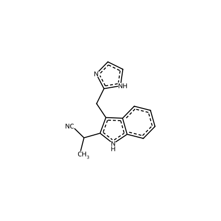 CC(C#N)c1[nH]c2ccccc2c1Cc1ncc[nH]1